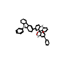 C1=CC2C3C=C(c4ccc5c(c4)C4(c6ccccc6Sc6cc(-c7ccccc7)ccc64)c4ccccc4S5)CCC3N(c3ccccc3)C2CC1